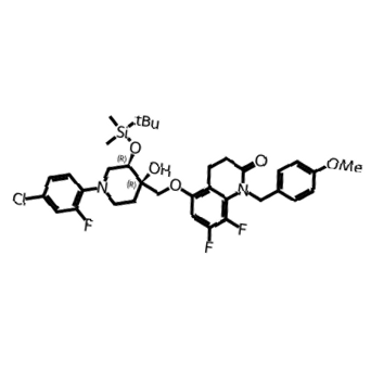 COc1ccc(CN2C(=O)CCc3c(OC[C@]4(O)CCN(c5ccc(Cl)cc5F)C[C@H]4O[Si](C)(C)C(C)(C)C)cc(F)c(F)c32)cc1